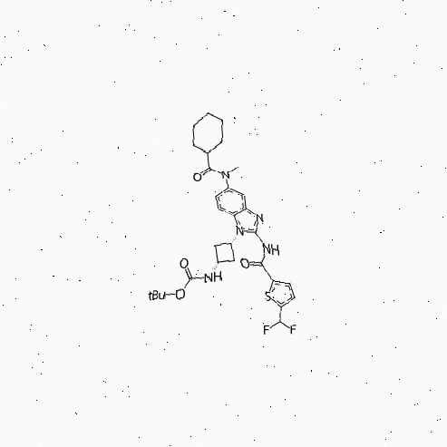 CN(C(=O)C1CCCCC1)c1ccc2c(c1)nc(NC(=O)c1ccc(C(F)F)s1)n2[C@H]1C[C@@H](NC(=O)OC(C)(C)C)C1